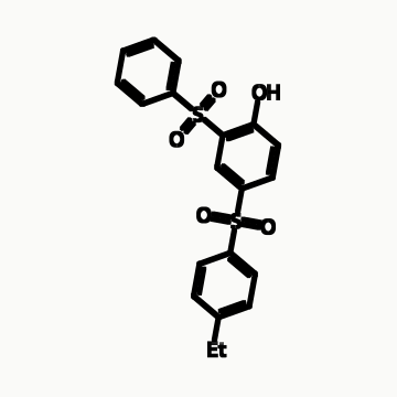 CCc1ccc(S(=O)(=O)c2ccc(O)c(S(=O)(=O)c3ccccc3)c2)cc1